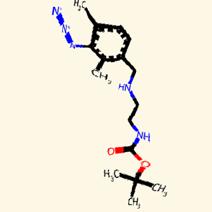 Cc1ccc(CNCCNC(=O)OC(C)(C)C)c(C)c1N=[N+]=[N-]